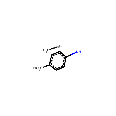 CCCC.Nc1ccc(C(=O)O)cc1